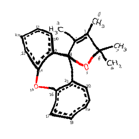 CC1=C(C)C2(OC1(C)C)c1ccccc1Oc1ccccc12